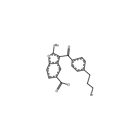 CCCCc1oc2ccc(C(=O)Cl)cc2c1C(=O)c1ccc(CCCBr)cc1